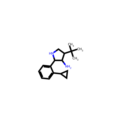 CC(C)(C)C1CNC(c2ccccc2C2CC2)C1N